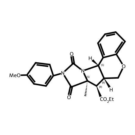 CCOC(=O)[C@@H]1[C@H]2COc3ccccc3[C@H]2N2C(=O)N(c3ccc(OC)cc3)C(=O)[C@]12C